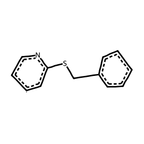 [c]1ccnc(SCc2ccccc2)c1